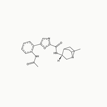 CC(=O)Nc1ccccc1-c1cnc(C(=O)N[C@H]2CN3CCC2CC3C)o1